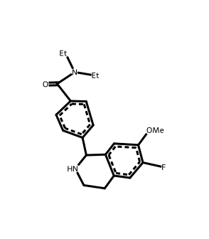 CCN(CC)C(=O)c1ccc(C2NCCc3cc(F)c(OC)cc32)cc1